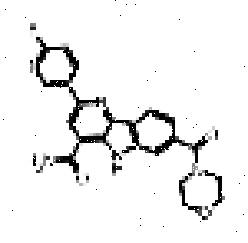 NC(=O)c1cc(-c2ccc(F)nc2)nc2c1[nH]c1cc(C(=O)N3CCOCC3)ccc12